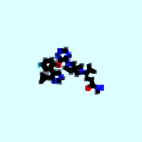 CNC(=O)CC[C@H](C(C)C)N1CC2(CCN(c3ncnnc3Oc3ccc(F)cc3-c3cncnc3C3CC3)C2)C1